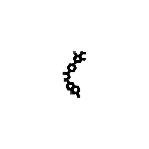 COc1c(F)cc(N2CCN(C(=O)CNc3ccc4c(c3)CCC(=O)N4)CC2)cc1F